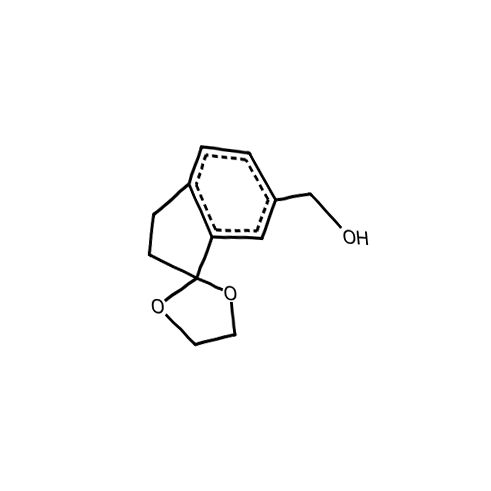 OCc1ccc2c(c1)C1(CC2)OCCO1